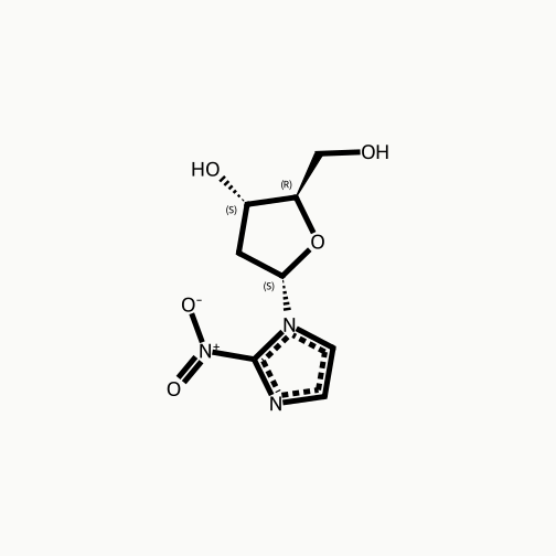 O=[N+]([O-])c1nccn1[C@@H]1C[C@H](O)[C@@H](CO)O1